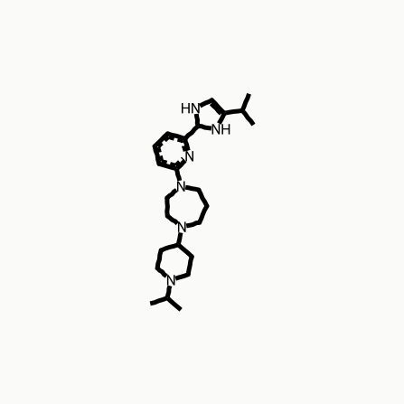 CC(C)C1=CNC(c2cccc(N3CCCN(C4CCN(C(C)C)CC4)CC3)n2)N1